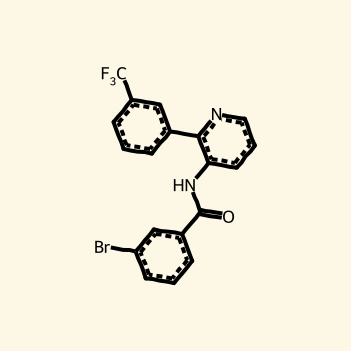 O=C(Nc1cccnc1-c1cccc(C(F)(F)F)c1)c1cccc(Br)c1